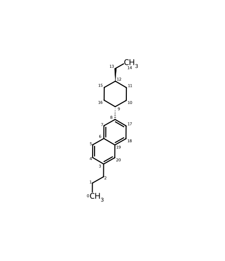 CCCc1ccc2cc([C@H]3CC[C@H](CC)CC3)ccc2c1